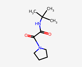 CC(C)(C)NC(=O)C(=O)N1CCCC1